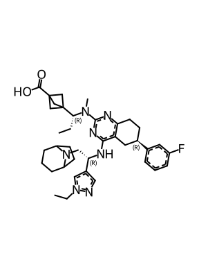 CC[C@@H](N(C)c1nc2c(c(N[C@@H](CN3C4CCCC3CC4)c3cnn(CC)c3)n1)C[C@H](c1cccc(F)c1)CC2)C12CC(C(=O)O)(C1)C2